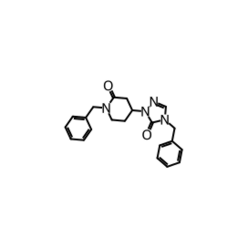 O=C1CC(n2ncn(Cc3ccccc3)c2=O)CCN1Cc1ccccc1